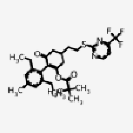 CCc1cc(C)cc(CC)c1C1=C(OC(=O)C(C)(C)C)CC(CCSc2nccc(C(F)(F)F)n2)CC1=O